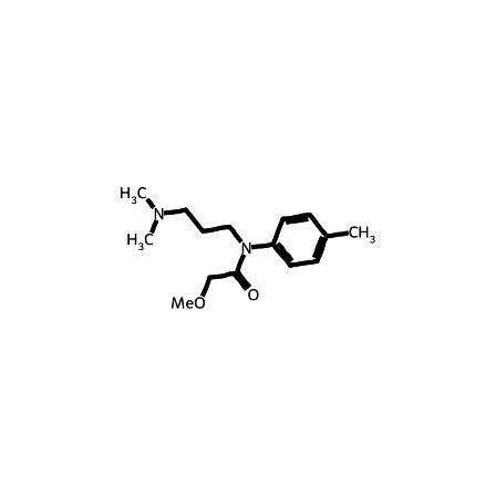 COCC(=O)N(CCCN(C)C)c1ccc(C)cc1